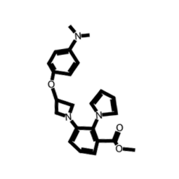 COC(=O)c1cccc(N2CC(Oc3ccc(N(C)C)cc3)C2)c1-n1cccc1